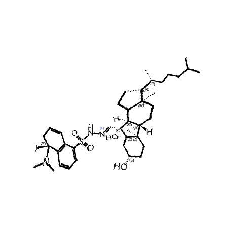 CC(C)CCC[C@@H](C)[C@H]1CCC2[C@@H]3[C@@H](/C=N/NS(=O)(=O)c4cccc5c4C=CC[C@@]5(I)N(C)C)[C@]4(O)C[C@@H](O)CC[C@]4(C)[C@H]3CC[C@@]21C